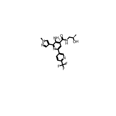 C[C@@H](O)CNC(=O)c1cc(-c2ccc(C(F)(F)F)nc2)nc(-c2cnn(C)c2)c1N